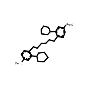 CCCC(C)c1ccc(CCCCCCc2ccc(C(C)CCC)cc2C2CCCCC2)c(C2CCCCC2)c1